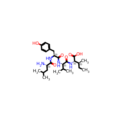 CC[C@H](C)[C@H](NC(=O)[C@@H](NC(=O)[C@H](Cc1ccc(O)cc1)NC(=O)[C@@H](N)CC(C)C)C(C)C)C(=O)O